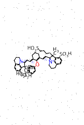 CCCCC1(C)/C(=C\C=C2/CCCC(/C=C/C3=[N+]4CCCc5ccc(S(=O)(=O)O)c(c54)C3(C)CCCCS(=O)(=O)O)=C2Oc2ccc(C(=O)O)cc2)N2CCCc3ccc(S(=O)(=O)O)c1c32